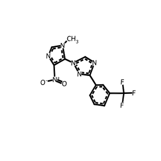 Cn1cnc([N+](=O)[O-])c1-n1cnc(-c2cccc(C(F)(F)F)c2)n1